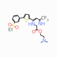 CCS(=O)(=O)c1cccc(-c2ccc(/C(=C/C(=N)C(F)(F)F)NCC(=O)OCCN(C)C)s2)c1